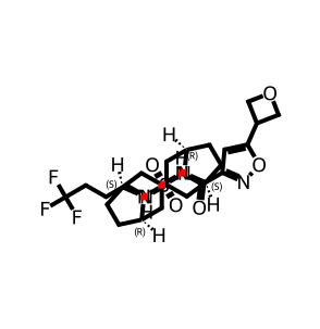 O=C(NC1C[C@H]2CC[C@@H](C1)N2S(=O)(=O)N1[C@@H]2CC[C@H]1CC(NCCCC(F)(F)F)C2)c1cc(C2COC2)on1